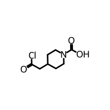 O=C(Cl)CC1CCN(C(=O)O)CC1